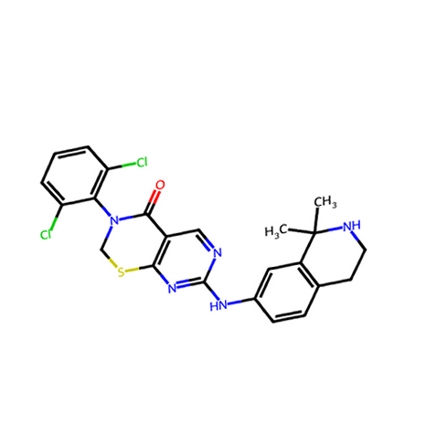 CC1(C)NCCc2ccc(Nc3ncc4c(n3)SCN(c3c(Cl)cccc3Cl)C4=O)cc21